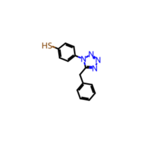 Sc1ccc(-n2nnnc2Cc2ccccc2)cc1